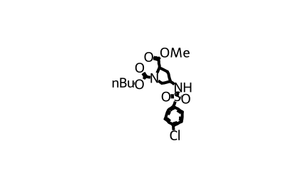 CCCCOC(=O)N1CC(NS(=O)(=O)c2ccc(Cl)cc2)CC1C(=O)OC